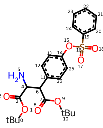 CC(C)(C)OC(=O)C(N)C(C(=O)OC(C)(C)C)c1ccc(OS(=O)(=O)c2ccccc2)cc1